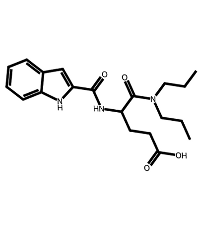 CCCN(CCC)C(=O)C(CCC(=O)O)NC(=O)c1cc2ccccc2[nH]1